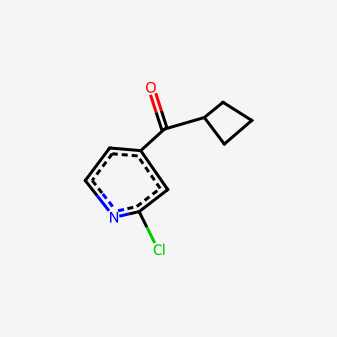 O=C(c1ccnc(Cl)c1)C1CCC1